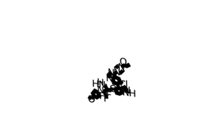 C=CC(=O)N1CCN(c2ncnc3cc(-c4c(OC/C(C=N)=C(/Nc5ccc(OC)cc5)C(F)(F)F)ccc5[nH]ncc45)c(Cl)cc23)CC1